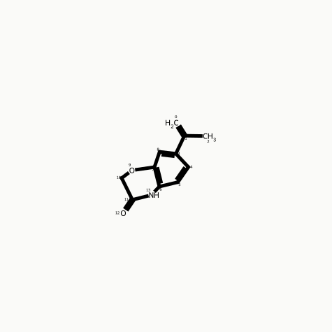 C=C(C)c1ccc2c(c1)OCC(=O)N2